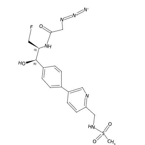 CS(=O)(=O)NCc1ccc(-c2ccc([C@@H](O)[C@@H](CF)NC(=O)CN=[N+]=[N-])cc2)cn1